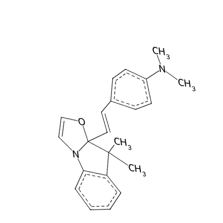 CN(C)c1ccc(C=CC23OC=CN2c2ccccc2C3(C)C)cc1